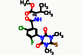 COC(=O)[C@@H](NC(=O)c1cc(-n2c(=O)n(C)c(=S)n(C)c2=O)c(F)cc1Cl)C(C)C